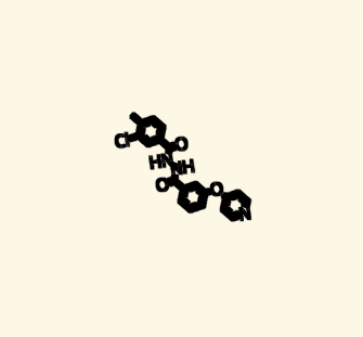 Cc1ccc(C(=O)NNC(=O)c2cccc(Oc3ccncc3)c2)cc1Cl